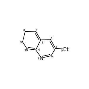 CCc1cnc2c(c1)=CCCC=2